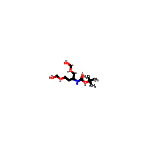 CC(C)(C)OC(=O)NC(CCOCO)COCO